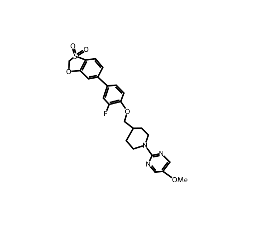 COc1cnc(N2CCC(COc3ccc(-c4ccc5c(c4)OCS5(=O)=O)cc3F)CC2)nc1